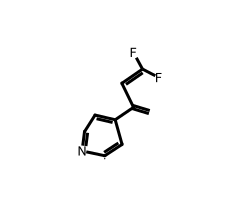 C=C(C=C(F)F)c1c[c]ncc1